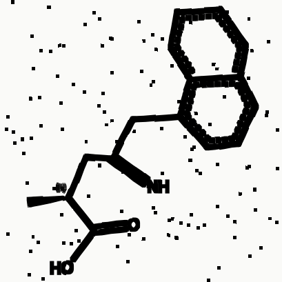 C[C@@H](CC(=N)Cc1cccc2ccccc12)C(=O)O